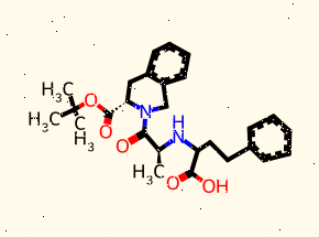 C[C@H](NC(CCc1ccccc1)C(=O)O)C(=O)N1Cc2ccccc2C[C@H]1C(=O)OC(C)(C)C